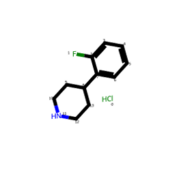 Cl.Fc1ccccc1C1CCNCC1